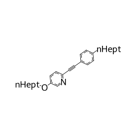 CCCCCCCOc1ccc(C#Cc2ccc(CCCCCCC)cc2)nc1